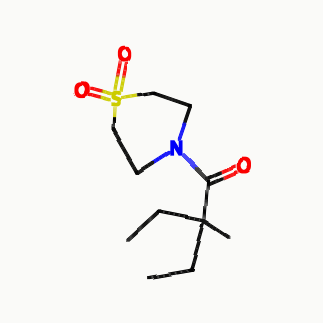 CCC(C)(CC)C(=O)N1CCS(=O)(=O)CC1